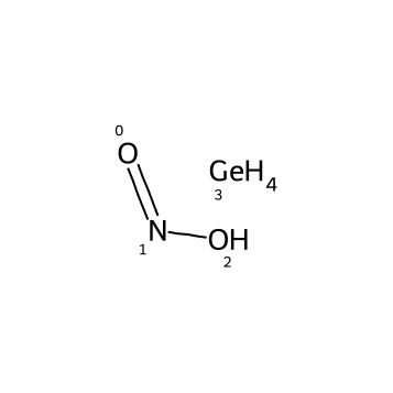 O=NO.[GeH4]